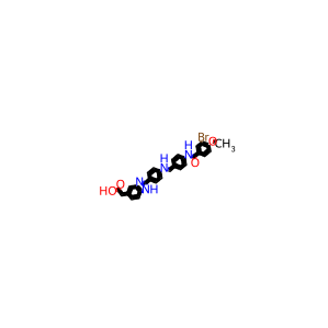 COc1ccc(C(=O)Nc2ccc(CNc3ccc(-c4nc5cc(CC(=O)O)ccc5[nH]4)cc3)cc2)cc1Br